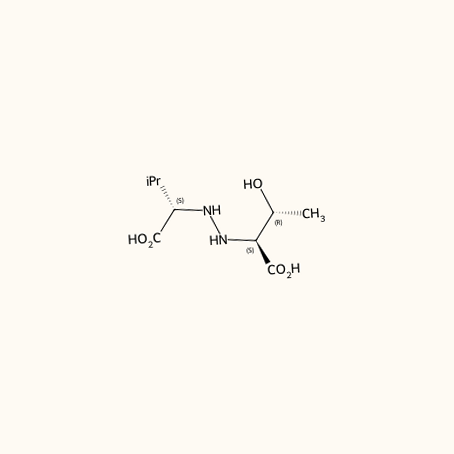 CC(C)[C@H](NN[C@H](C(=O)O)[C@@H](C)O)C(=O)O